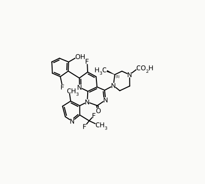 Cc1ccnc(C(C)(F)F)c1-n1c(=O)nc(N2CCN(C(=O)O)C[C@@H]2C)c2cc(F)c(-c3c(O)cccc3F)nc21